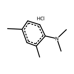 Cc1ccc(N(C)C)c(C)c1.Cl